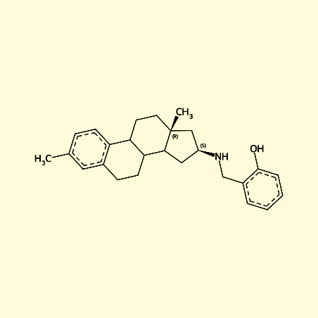 Cc1ccc2c(c1)CCC1C2CC[C@]2(C)C[C@@H](NCc3ccccc3O)CC12